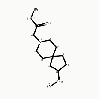 CC(C)NC(=O)CN1CCC2(CC[C@@H](OC(C)C)C2)CC1